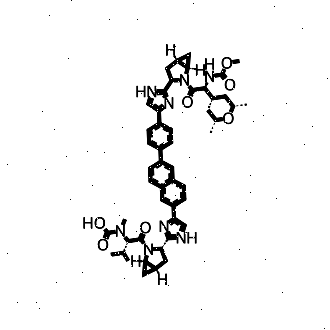 COC(=O)N[C@H](C(=O)N1C(c2nc(-c3ccc(-c4ccc5cc(-c6c[nH]c([C@@H]7C[C@H]8C[C@H]8N7C(=O)[C@H](C(C)C)N(C)C(=O)O)n6)ccc5c4)cc3)c[nH]2)C[C@H]2C[C@H]21)[C@H]1C[C@@H](C)O[C@@H](C)C1